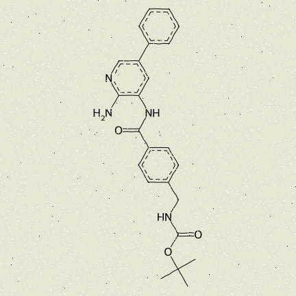 CC(C)(C)OC(=O)NCc1ccc(C(=O)Nc2cc(-c3ccccc3)cnc2N)cc1